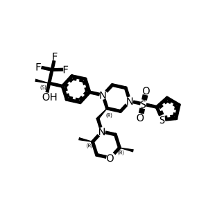 C[C@@H]1CN(C[C@@H]2CN(S(=O)(=O)c3cccs3)CCN2c2ccc([C@](C)(O)C(F)(F)F)cc2)[C@H](C)CO1